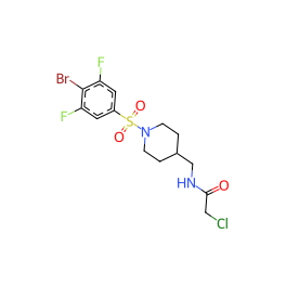 O=C(CCl)NCC1CCN(S(=O)(=O)c2cc(F)c(Br)c(F)c2)CC1